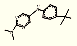 CN(C)c1ncc(Nc2ccc(C(C)(C)C)cc2)cn1